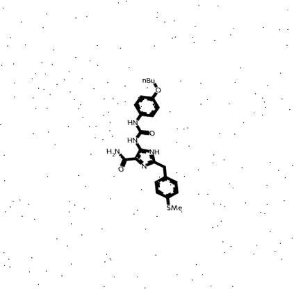 CCCCOc1ccc(NC(=O)Nc2[nH]c(Cc3ccc(SC)cc3)nc2C(N)=O)cc1